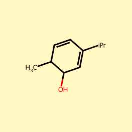 CC(C)C1=CC(O)C(C)C=C1